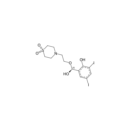 O=S1(=O)CCN(CCO[C@H](O)c2cc(I)cc(I)c2O)CC1